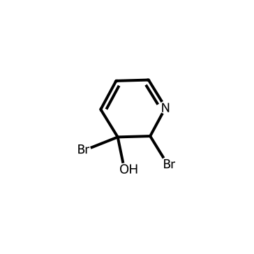 OC1(Br)C=CC=NC1Br